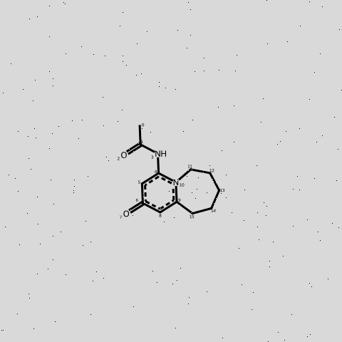 CC(=O)Nc1cc(=O)cc2n1CCCCC2